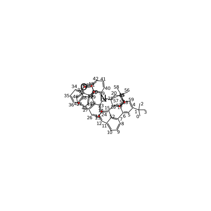 CC(C)(C)c1cc(-c2cccc3cccc(-c4ccccc4N(c4ccccc4-c4cccc5ccccc45)c4cccc5oc6ccccc6c45)c23)cc(C(C)(C)C)c1